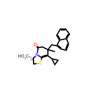 CC1(Cc2cccc3ccccc23)CC(=O)N2C(=C1C1CC1)SC[C@@H]2C(=O)O